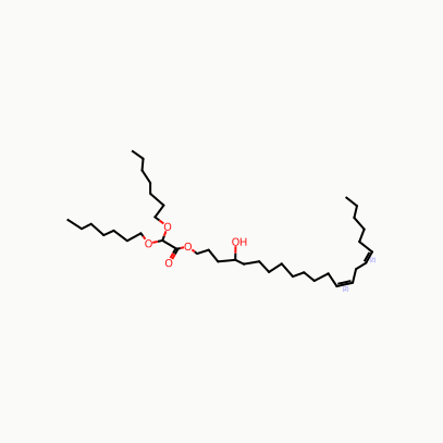 CCCCC/C=C\C/C=C\CCCCCCCCC(O)CCCOC(=O)C(OCCCCCCC)OCCCCCCC